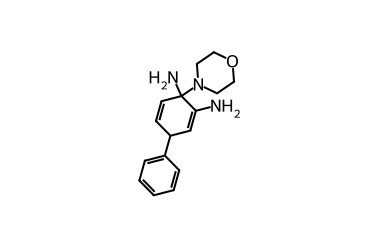 NC1=CC(c2ccccc2)C=CC1(N)N1CCOCC1